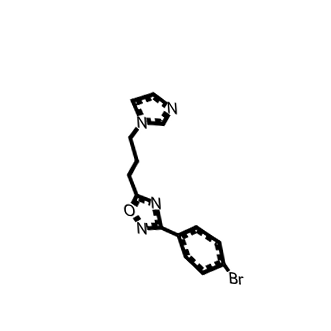 Brc1ccc(-c2noc(CCCn3ccnc3)n2)cc1